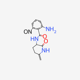 C=C1CCC(NC(=O)c2c(N)cccc2N=O)C(=O)N1